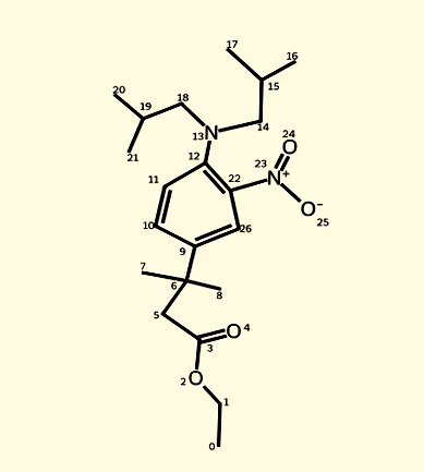 CCOC(=O)CC(C)(C)c1ccc(N(CC(C)C)CC(C)C)c([N+](=O)[O-])c1